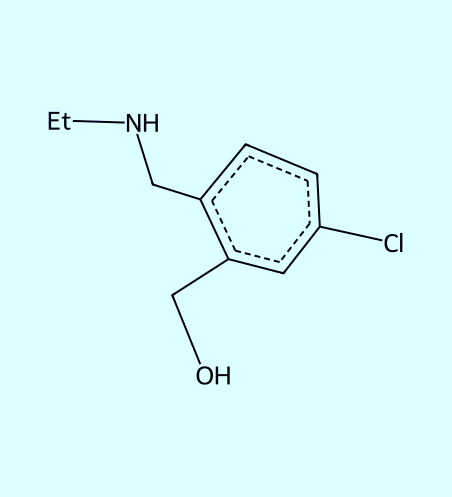 CCNCc1ccc(Cl)cc1CO